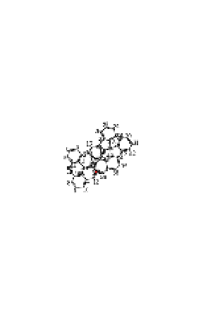 c1ccc2c(c1)Sc1cccc3ccc(-c4ccc5c(c4)C4(c6ccccc6-5)c5ccccc5-c5ccc6ccccc6c54)c-2c13